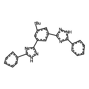 CC(C)(C)c1cc(-c2n[nH]c(-c3ccccc3)n2)cc(-c2n[nH]c(-c3ccccc3)n2)c1